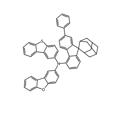 c1ccc(-c2ccc3c(c2)C2(c4cccc(N(c5ccc6oc7ccccc7c6c5)c5ccc6sc7ccccc7c6c5)c4-3)C3CC4CC(C3)CC2C4)cc1